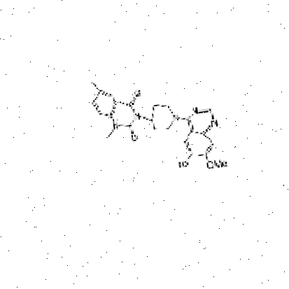 COc1cc2ncnc(N3CCC(n4c(=O)c5cc(C)ccc5n(C)c4=O)CC3)c2cc1O